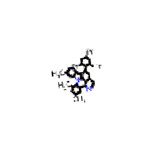 Cc1cc(C)c2c(c1)c1nccc3cc(-c4c(C(C)C)cc(C(C)C)cc4C(C)C)c4c5ccc(C)cc5n2c4c31